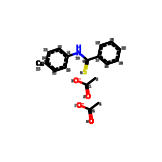 CC(=O)[O-].CC(=O)[O-].S=C(Nc1ccccc1)c1ccccc1.[Cu+2]